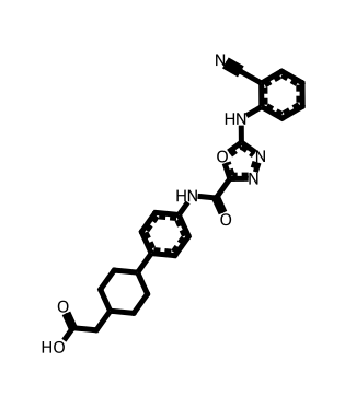 N#Cc1ccccc1Nc1nnc(C(=O)Nc2ccc(C3CCC(CC(=O)O)CC3)cc2)o1